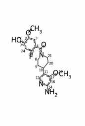 COc1cc(C(=O)N2CCC(c3cnc(N)cc3OC)CC2)c(F)cc1O